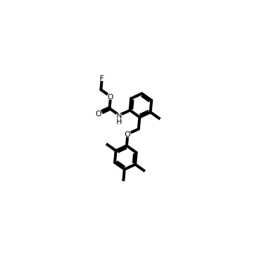 Cc1cc(C)c(OCc2c(C)cccc2NC(=O)OCF)cc1C